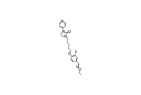 CCO/N=C/c1ccc(OCCCCCN2CCN(c3ccncc3)C2=O)c(F)c1